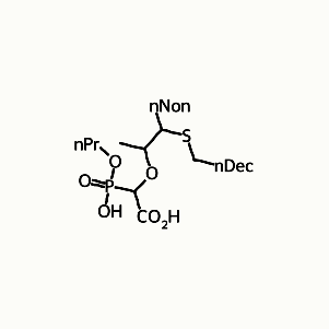 CCCCCCCCCCCSC(CCCCCCCCC)C(C)OC(C(=O)O)P(=O)(O)OCCC